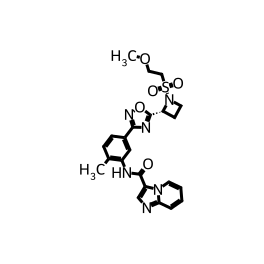 COCCS(=O)(=O)N1CC[C@@H]1c1nc(-c2ccc(C)c(NC(=O)c3cnc4ccccn34)c2)no1